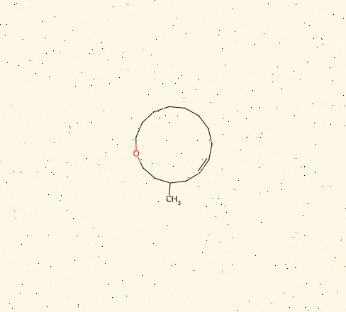 CC1CC=CCCCCCCCCOCC1